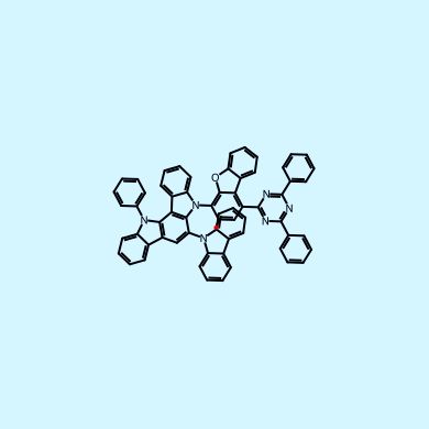 Cc1cc(-c2nc(-c3ccccc3)nc(-c3ccccc3)n2)c2c(oc3ccccc32)c1-n1c2ccccc2c2c1c(-n1c3ccccc3c3ccccc31)cc1c3ccccc3n(-c3ccccc3)c12